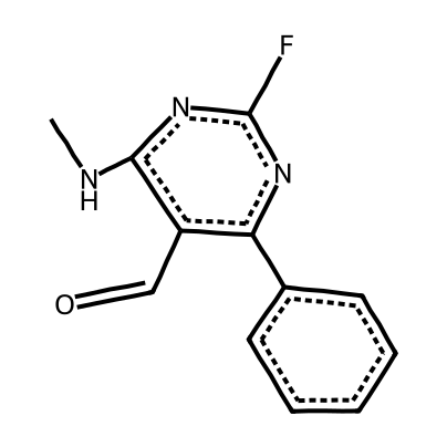 CNc1nc(F)nc(-c2ccccc2)c1C=O